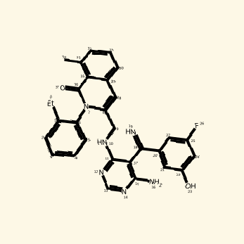 CCc1ccccc1-n1c(CNc2ncnc(N)c2C(=N)c2cc(O)cc(F)c2)cc2cccc(C)c2c1=O